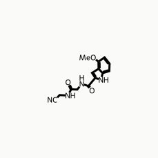 COc1cccc2[nH]c(C(=O)NCC(=O)NCC#N)cc12